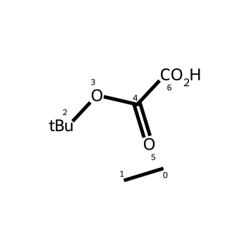 CC.CC(C)(C)OC(=O)C(=O)O